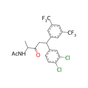 CC(=O)NC(C)C(=O)CC(c1cc(C(F)(F)F)cc(C(F)(F)F)c1)c1ccc(Cl)c(Cl)c1